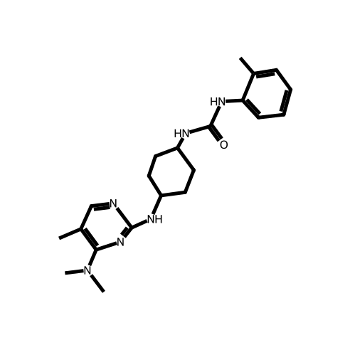 Cc1ccccc1NC(=O)NC1CCC(Nc2ncc(C)c(N(C)C)n2)CC1